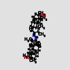 C[C@@H]1C[C@@]2(C)[C@@H](CC[C@@H]3[C@@H]2CC[C@@]2(C)[C@H]3CC[C@]2(C)O)C/C1=N/N=C1/C[C@@H]2CC[C@@H]3[C@H](CC[C@@]4(C)[C@H]3CC[C@]4(C)O)[C@@]2(C)C[C@H]1C